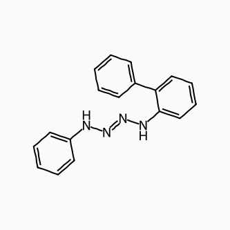 c1ccc(NN=NNc2ccccc2-c2ccccc2)cc1